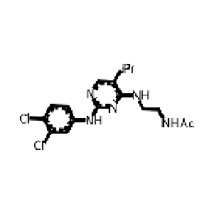 CC(=O)NCCNc1nc(Nc2ccc(Cl)c(Cl)c2)ncc1C(C)C